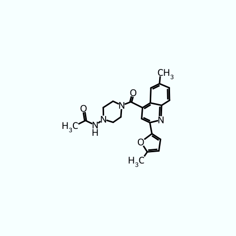 CC(=O)NN1CCN(C(=O)c2cc(-c3ccc(C)o3)nc3ccc(C)cc23)CC1